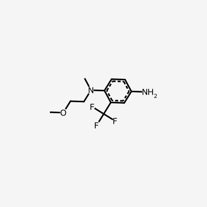 COCCN(C)c1ccc(N)cc1C(F)(F)F